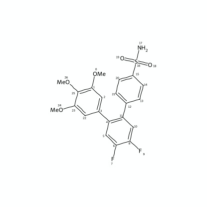 COc1cc(-c2cc(F)c(F)cc2-c2ccc(S(N)(=O)=O)cc2)cc(OC)c1OC